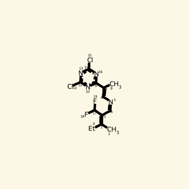 CC/C(C)=C(/C=N\C=C(/C)c1nc(Cl)nc(Cl)n1)C(F)F